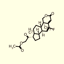 CC(=O)OCC(=O)[C@H]1CC[C@H]2[C@@H]3C=C(F)C4=CC(=O)OC[C@]4(C)[C@H]3CC[C@]12C